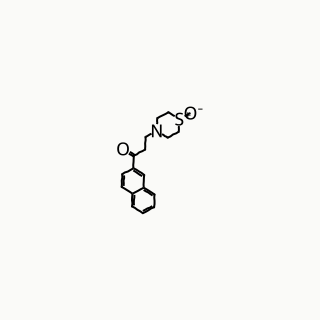 O=C(CCN1CC[S+]([O-])CC1)c1ccc2ccccc2c1